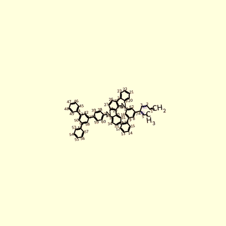 C=C/C=C\C(=C/C)c1cc(-c2ccccc2)cc(-n2c3ccccc3c3ccc4c(c5ccccc5n4-c4ccc(-c5cc(-c6ccccc6)cc(-c6ccccc6)c5)cc4)c32)c1